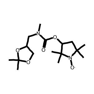 CN(CC1COC(C)(C)O1)C(=O)OC1CC(C)(C)N([O])C1(C)C